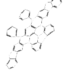 c1ccc(N2c3cc4oc5ccccc5c4cc3B3c4c2cc2c5c4-n4c6c3cccc6c3cccc(c34)B5c3cc4c(cc3N2c2ccccc2)oc2ccccc24)cc1